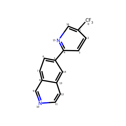 FC(F)(F)c1ccc(-c2ccc3cnccc3c2)nc1